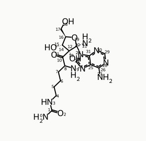 NC(=O)NCCCCC(N)C(=O)[C@@]1(O)[C@H](O)[C@@H](CO)O[C@@]1(N)n1cnc2c(N)ncnc21